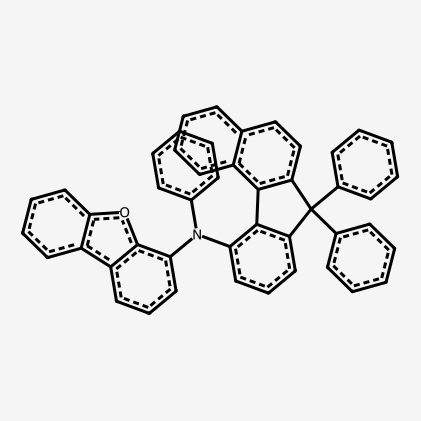 c1ccc(N(c2cccc3c2-c2c(ccc4ccccc24)C3(c2ccccc2)c2ccccc2)c2cccc3c2oc2ccccc23)cc1